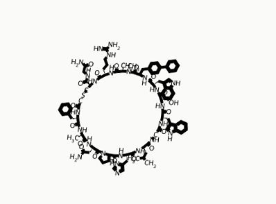 CC(C)C[C@@H]1NC(=O)[C@H](Cc2cnc[nH]2)NC(=O)[C@@H]2CCCN2C(=O)[C@H](CC(N)=O)NC(=O)[C@H](C)NC(=O)[C@H](Cc2ccccc2)NC(=O)CSC[C@@H](C(=O)NCC(N)=O)NC(=O)[C@H](CCCNC(=N)N)NC(=O)[C@H](C)N(C)C(=O)C(Cc2ccc(-c3ccccc3)cc2)NC(=O)[C@H](Cc2c[nH]c3ccccc23)NC(=O)[C@H](CO)NC(=O)[C@H](Cc2c[nH]c3ccccc23)NC(=O)CNC1=O